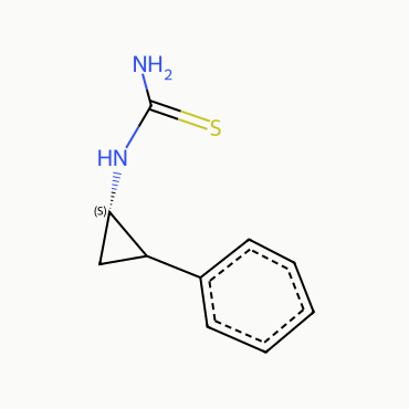 NC(=S)N[C@H]1CC1c1ccccc1